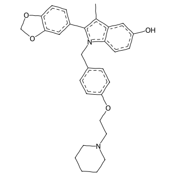 Cc1c(-c2ccc3c(c2)OCO3)n(Cc2ccc(OCCN3CCCCC3)cc2)c2ccc(O)cc12